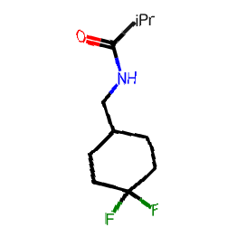 CC(C)C(=O)NCC1CCC(F)(F)CC1